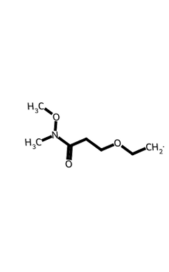 [CH2]COCCC(=O)N(C)OC